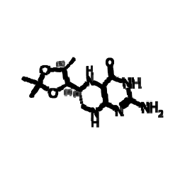 C[C@@H]1OC(C)(C)O[C@@H]1[C@H]1CNc2nc(N)[nH]c(=O)c2N1